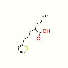 C=CCCC(CCCc1cccs1)C(=O)O